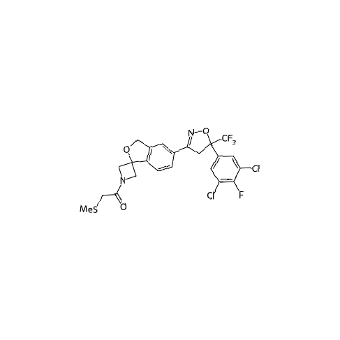 CSCC(=O)N1CC2(C1)OCc1cc(C3=NOC(c4cc(Cl)c(F)c(Cl)c4)(C(F)(F)F)C3)ccc12